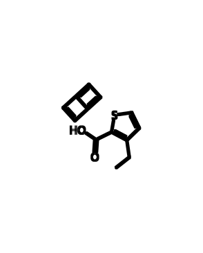 CCc1ccsc1C(=O)O.c1cc2ccc1-2